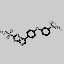 CN(C)c1cccc(Oc2ccc(-c3cnc4sc(S(N)(=O)=O)nn34)cc2)c1